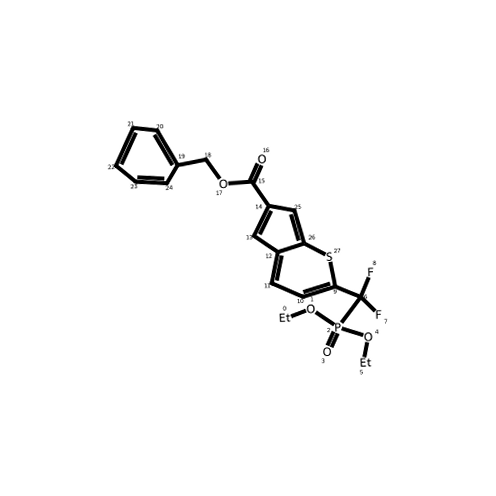 CCOP(=O)(OCC)C(F)(F)c1ccc2cc(C(=O)OCc3ccccc3)cc-2s1